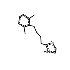 Cc1cccc(C)c1CCCCc1ncc[nH]1